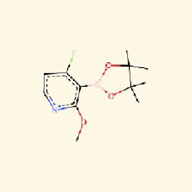 COc1nccc(F)c1B1OC(C)(C)C(C)(C)O1